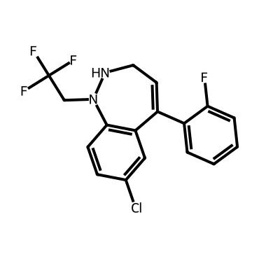 Fc1ccccc1C1=CCNN(CC(F)(F)F)c2ccc(Cl)cc21